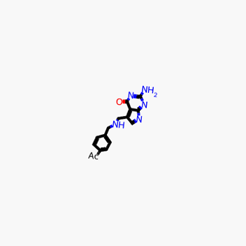 CC(=O)c1ccc(CNCC2=C3C(=O)N=C(N)N=C3N=C2)cc1